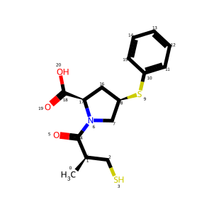 C[C@H](CS)C(=O)N1C[C@H](Sc2ccccc2)C[C@@H]1C(=O)O